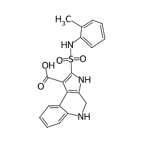 Cc1ccccc1NS(=O)(=O)c1[nH]c2c(c1C(=O)O)-c1ccccc1NC2